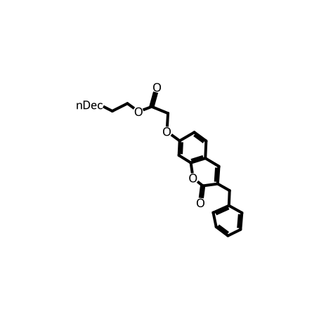 CCCCCCCCCCCCOC(=O)COc1ccc2cc(Cc3ccccc3)c(=O)oc2c1